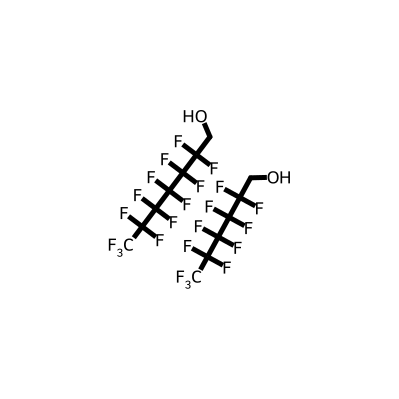 OCC(F)(F)C(F)(F)C(F)(F)C(F)(F)C(F)(F)C(F)(F)F.OCC(F)(F)C(F)(F)C(F)(F)C(F)(F)C(F)(F)F